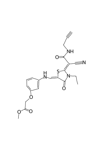 C#CCNC(=O)C(C#N)=c1sc(=CNc2cccc(OCC(=O)OC)c2)c(=O)n1CC